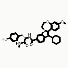 CNC(=O)[C@H](Cc1ccc(O)cc1)NC(=O)c1ccc2c(C3CCCCC3)c3n(c2c1)CCOc1cc(OC)ccc1-3